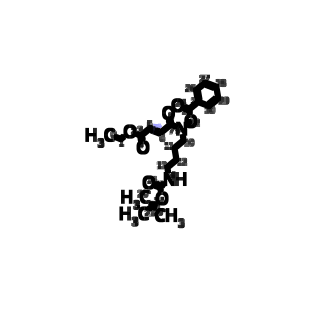 CCOC(=O)/C=C/C(=O)N(CCCCNC(=O)OC(C)(C)C)OC(=O)c1ccccc1